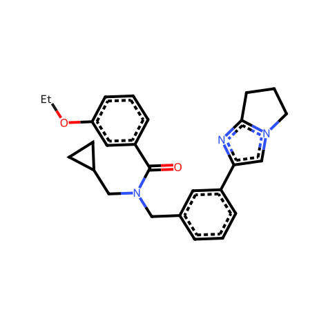 CCOc1cccc(C(=O)N(Cc2cccc(-c3cn4c(n3)CCC4)c2)CC2CC2)c1